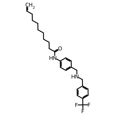 C=CCCCCCCCCC(=O)Nc1ccc(CNCc2ccc(C(F)(F)F)cc2)cc1